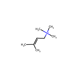 CC(C)=CC[N+](C)(C)C